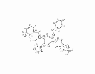 COCCCn1nnnc1-c1cc(-c2ccc(OC(F)(F)F)cc2)c(OCc2ccccc2)cc1OCc1ccccc1